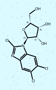 OC[C@H]1O[C@H](n2c(Cl)nc3cc(Cl)c(Cl)cc32)[C@@H](O)[C@H]1O